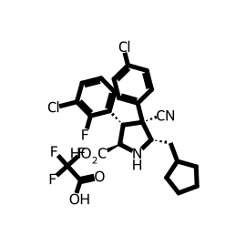 N#C[C@]1(c2ccc(Cl)cc2)[C@H](CC2CCCC2)N[C@@H](C(=O)O)[C@@H]1c1cccc(Cl)c1F.O=C(O)C(F)(F)F